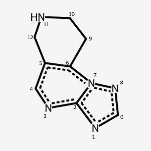 c1nc2ncc3c(n2n1)CCNC3